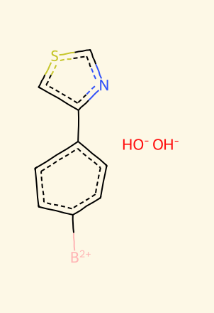 [B+2]c1ccc(-c2cscn2)cc1.[OH-].[OH-]